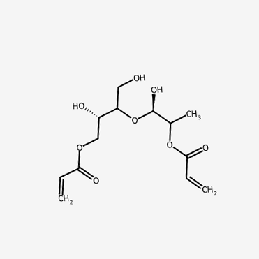 C=CC(=O)OC[C@H](O)C(CO)O[C@@H](O)C(C)OC(=O)C=C